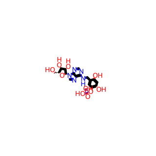 O=P(O)(O)Oc1cc(CNc2ncnc3c2ncn3[C@@H]2O[C@H](CO)[C@@H](O)[C@H]2O)c(O)cc1O